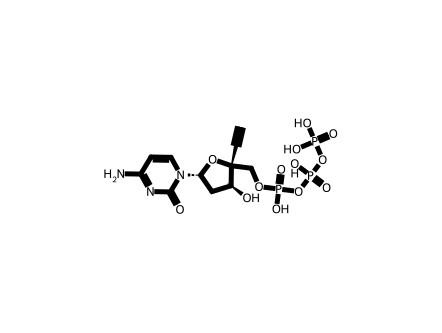 C#C[C@]1(COP(=O)(O)OP(=O)(O)OP(=O)(O)O)O[C@@H](n2ccc(N)nc2=O)C[C@@H]1O